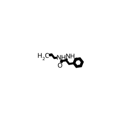 C=CCNC(=O)C(N)Cc1ccccc1